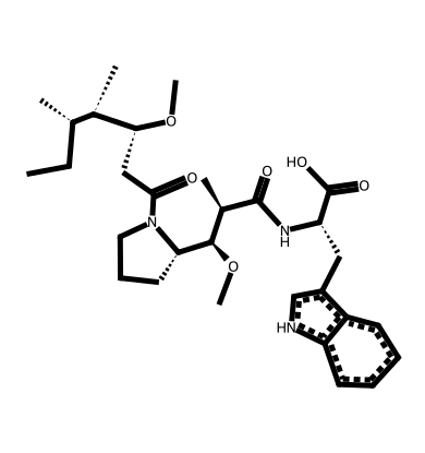 CC[C@H](C)[C@H](C)[C@@H](CC(=O)N1CCC[C@H]1[C@H](OC)[C@@H](C)C(=O)N[C@@H](Cc1c[nH]c2ccccc12)C(=O)O)OC